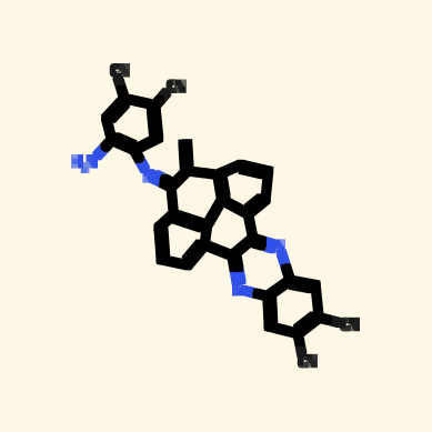 C=C1/C(=N\c2cc(C#N)c(C#N)cc2N)c2cccc3c4nc5cc(C#N)c(C#N)cc5nc4c4cccc1c4c23